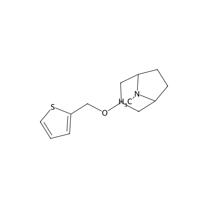 CN1C2CCC1CC(OCc1cccs1)C2